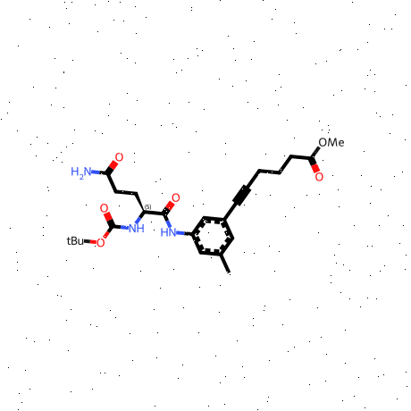 COC(=O)CCCC#Cc1cc(C)cc(NC(=O)[C@H](CCC(N)=O)NC(=O)OC(C)(C)C)c1